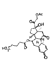 CC(=O)OCC(=O)[C@@]1(O)CC[C@H]2[C@@H]3[C@H](OC(=O)CCCC(=O)O)CC4=CC(=O)C=C[C@]4(C)[C@H]3C(=O)C[C@@]21C